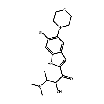 CC(C(C#N)C(=O)c1cc2cc(N3CCOCC3)c(Br)cc2[nH]1)N(C)C